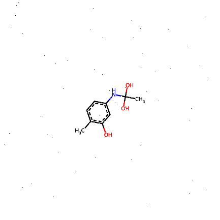 Cc1ccc(NC(C)(O)O)cc1O